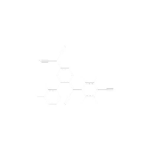 N#CC(C#N)=c1cc/c(=C(/C#N)c2c(F)c(F)c(C#N)c(F)c2F)c(-c2cccc(F)c2F)c1